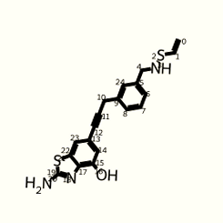 C=CSNCc1cccc(CC#Cc2cc(O)c3nc(N)sc3c2)c1